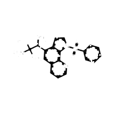 CC(C)(N)C(N)c1cc2cccnc2c2c1ccn2S(=O)(=O)c1ccccc1